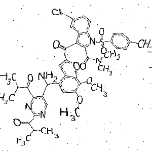 COc1cc(C(N)c2cnc(C(=O)C(C)C)nc2C(=O)C(C)C)c2cc(C(=O)c3c(C(=O)N(C)C)n(S(=O)(=O)c4ccc(C)cc4)c4ccc(Cl)cc34)oc2c1OC